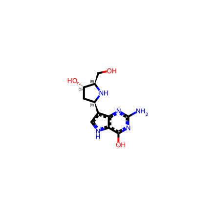 Nc1nc(O)c2[nH]cc([C@H]3C[C@H](O)[C@@H](CO)N3)c2n1